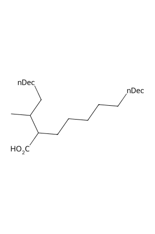 CCCCCCCCCCCCCCCC(C(=O)O)C(C)CCCCCCCCCCC